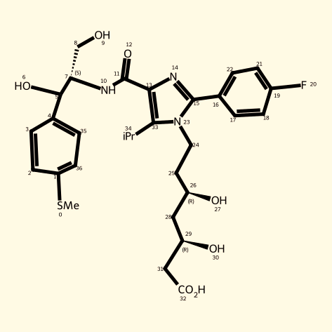 CSc1ccc(C(O)[C@H](CO)NC(=O)c2nc(-c3ccc(F)cc3)n(CC[C@@H](O)C[C@@H](O)CC(=O)O)c2C(C)C)cc1